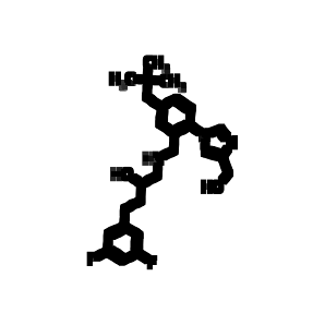 CC(C)(C)Cc1ccc(-n2cnc(CO)c2)c(CNCC(O)CCc2cc(F)cc(F)c2)c1